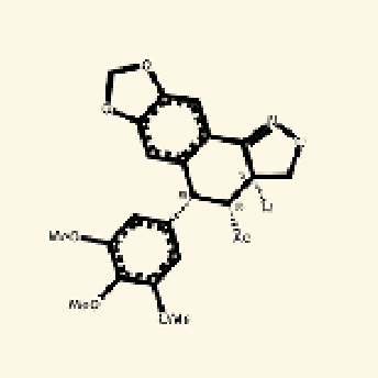 COc1cc([C@@H]2c3cc4c(cc3C3=NOC[C@H]3[C@@H]2C(C)=O)OCO4)cc(OC)c1OC